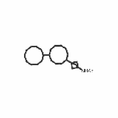 CC(=O)NC12CC(C3CCCCCC(C4CCCCCCCCC4)CCC3)(C1)C2